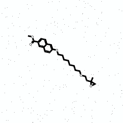 COC(=O)c1ccc2cc(OCCCCCCCCOCCC3(C)CO3)ccc2c1